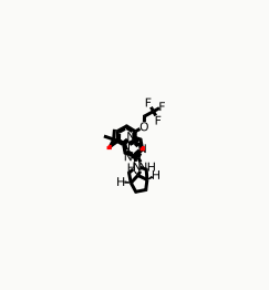 Cc1ccc(OCC(F)(F)F)c2nc(N[C@@H]3[C@@H]4CC[C@H]3CN(c3ccnc(C(C)(C)C)c3)C4)nn12